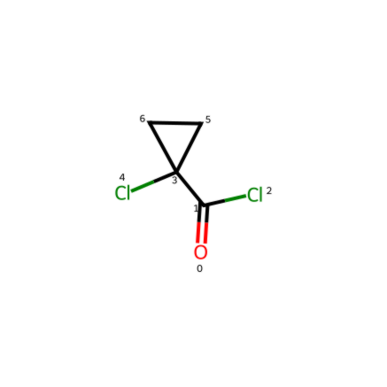 O=C(Cl)C1(Cl)CC1